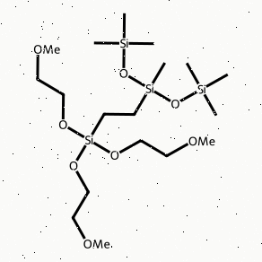 COCCO[Si](CC[Si](C)(O[Si](C)(C)C)O[Si](C)(C)C)(OCCOC)OCCOC